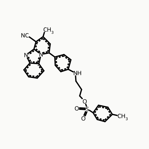 Cc1ccc(S(=O)(=O)OCCCNc2ccc(-c3cc(C)c(C#N)c4nc5ccccc5n34)cc2)cc1